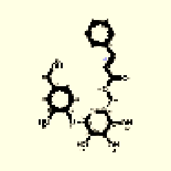 O=C(/C=C/c1ccccc1)OC[C@H]1O[C@@H](Oc2ccc(CO)cc2O)[C@H](O)[C@H](O)[C@@H]1O